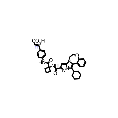 O=C(O)/C=C/c1ccc(NC(=O)C2(NC(=O)c3cc4n5c(c(C6CCCCC6)n4n3)-c3ccccc3OCC5)CCC2)cc1